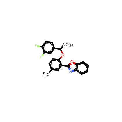 O=C(O)C(Oc1ccc(C(F)(F)F)cc1-c1nc2ccccc2o1)c1ccc(F)c(F)c1